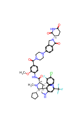 COc1cc(C(=O)N2CCN(c3ccc4c(c3)CN([C@H]3CCC(=O)NC3=O)C4=O)CC2)ccc1NC(=O)[C@H]1[C@H](c2cccc(Cl)c2F)[C@]2(CNc3cc(C(F)(F)F)ncc32)[C@H](C2CCCC2)N1C